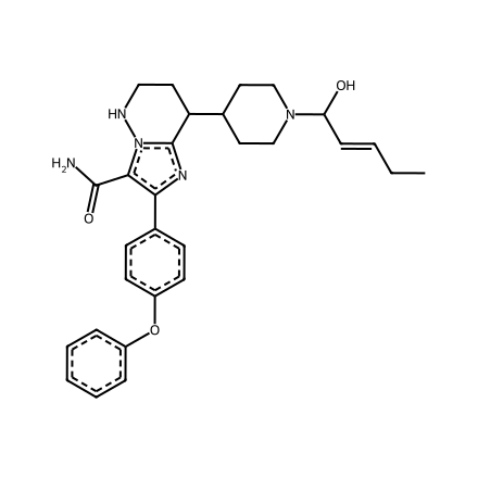 CC/C=C/C(O)N1CCC(C2CCNn3c2nc(-c2ccc(Oc4ccccc4)cc2)c3C(N)=O)CC1